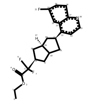 CCOC(=O)C(F)(F)[C@@H]1CC2C[C@H](c3ccnc4ccc(F)cc34)C[C@@H]2C1